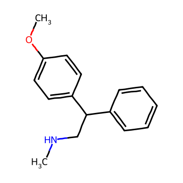 CNCC(c1ccccc1)c1ccc(OC)cc1